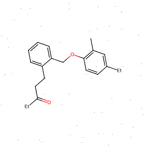 CCC(=O)CCc1ccccc1COc1ccc(CC)cc1C